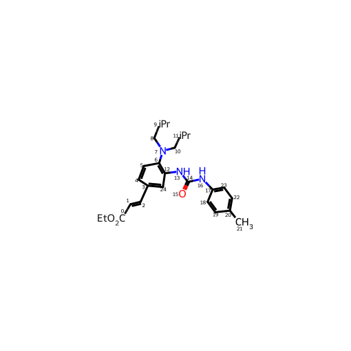 CCOC(=O)/C=C/c1ccc(N(CC(C)C)CC(C)C)c(NC(=O)Nc2ccc(C)cc2)c1